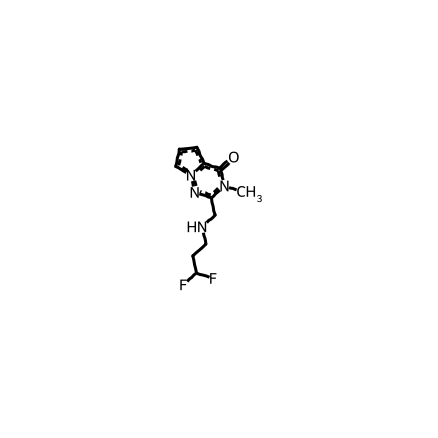 Cn1c(CNCCC(F)F)nn2cccc2c1=O